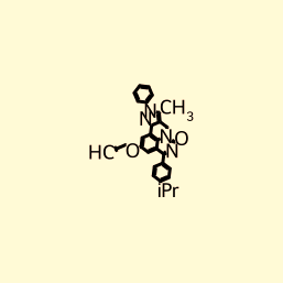 C#CCOc1cc2c3c(c1)c(-c1ccc(C(C)C)cc1)nc(=O)n3Cc1c-2nn(-c2ccccc2)c1C